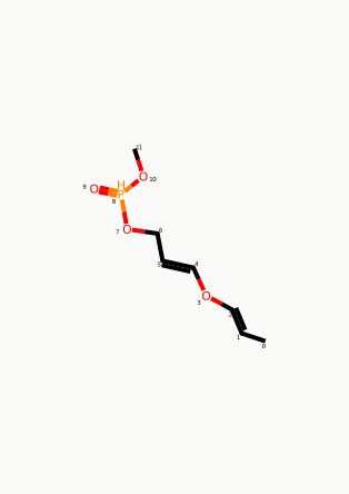 C/C=C/O/C=C/CO[PH](=O)OC